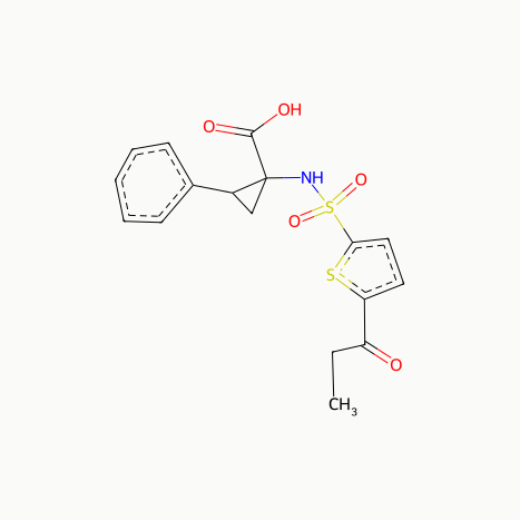 CCC(=O)c1ccc(S(=O)(=O)NC2(C(=O)O)CC2c2ccccc2)s1